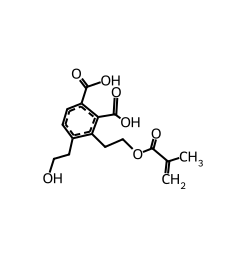 C=C(C)C(=O)OCCc1c(CCO)ccc(C(=O)O)c1C(=O)O